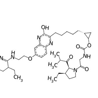 CCC1CC=CN=C1NCCOc1ccc2nc(CCCCC[C@@H]3CC3OC(=O)NCC(=O)N3CC[C@@H](CC)[C@H]3C(=O)C(C)C)c(O)nc2c1